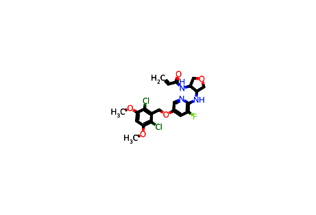 C=CC(=O)NC1COCC1Nc1ncc(OCc2c(Cl)c(OC)cc(OC)c2Cl)cc1F